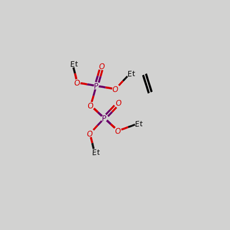 C=C.CCOP(=O)(OCC)OP(=O)(OCC)OCC